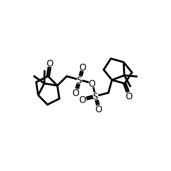 CC1(C)C2CCC1(CS(=O)(=O)OS(=O)(=O)CC13CCC(CC1=O)C3(C)C)C(=O)C2